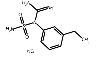 CCc1cccc(N(C(=N)N)S(N)(=O)=O)c1.Cl